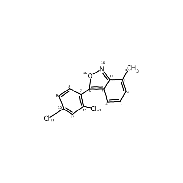 Cc1cccc2c(-c3ccc(Cl)cc3Cl)onc12